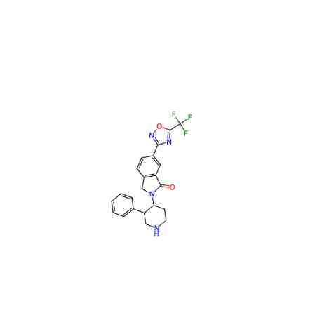 O=C1c2cc(-c3noc(C(F)(F)F)n3)ccc2CN1C1CCNCC1c1ccccc1